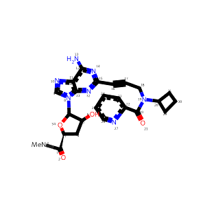 CNC(=O)[C@@H]1CC(O)C(n2cnc3c(N)nc(C#CCN(C(=O)c4ccccn4)C4CCC4)nc32)O1